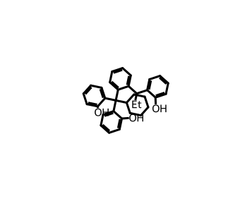 CCC(c1ccccc1O)c1ccccc1C(c1ccccc1O)(c1ccccc1O)C1CCCCC1